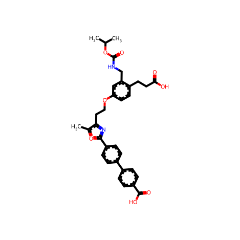 Cc1oc(-c2ccc(-c3ccc(C(=O)O)cc3)cc2)nc1CCOc1ccc(CCC(=O)O)c(CNC(=O)OC(C)C)c1